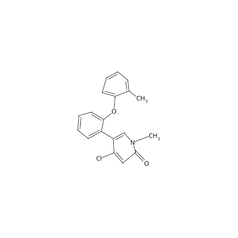 Cc1ccccc1Oc1ccccc1-c1cn(C)c(=O)cc1Cl